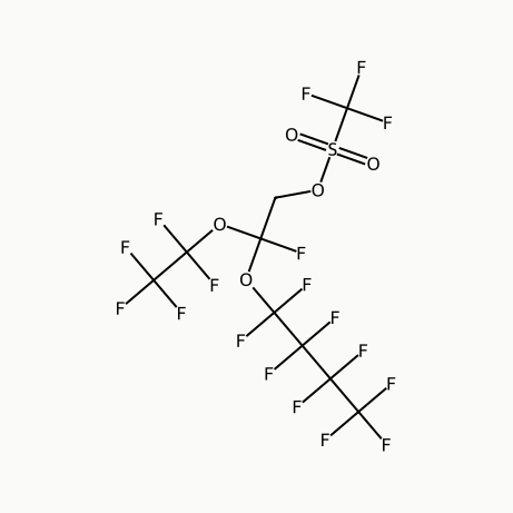 O=S(=O)(OCC(F)(OC(F)(F)C(F)(F)F)OC(F)(F)C(F)(F)C(F)(F)C(F)(F)F)C(F)(F)F